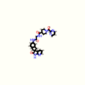 O=C(CNC(=O)C1CCN(C(=O)c2ncccn2)CC1)Nc1ccc2c(c1)CC1(C2)C(=O)Nc2ncccc21